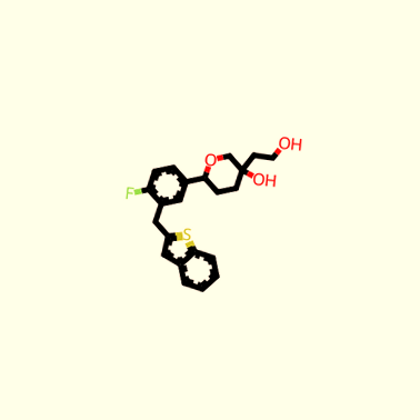 OCCC1(O)CCC(c2ccc(F)c(Cc3cc4ccccc4s3)c2)OC1